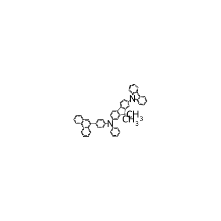 CC1(C)c2cc(N(c3ccccc3)c3ccc(-c4cc5ccccc5c5ccccc45)cc3)ccc2-c2ccc(-n3c4ccccc4c4ccccc43)cc21